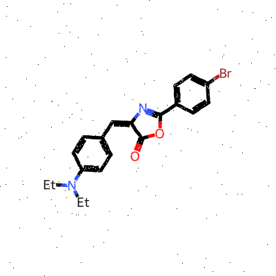 CCN(CC)c1ccc(C=C2N=C(c3ccc(Br)cc3)OC2=O)cc1